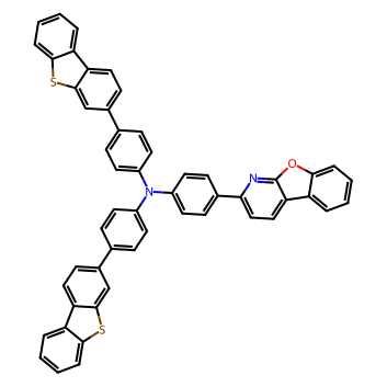 c1ccc2c(c1)oc1nc(-c3ccc(N(c4ccc(-c5ccc6c(c5)sc5ccccc56)cc4)c4ccc(-c5ccc6c(c5)sc5ccccc56)cc4)cc3)ccc12